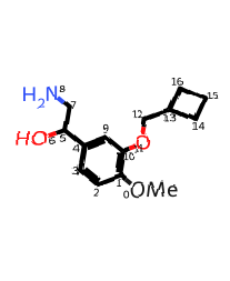 COc1ccc(C(O)CN)cc1OCC1CCC1